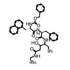 CCC(C)CNC(=O)CC(O)C(CC(C)C)NC(=O)[C@H](Cc1ccccc1)NC(=O)[C@H](Cc1cccc2ccccc12)NC(=O)OCc1ccccc1